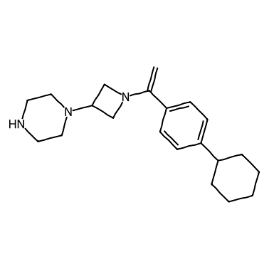 C=C(c1ccc(C2CCCCC2)cc1)N1CC(N2CCNCC2)C1